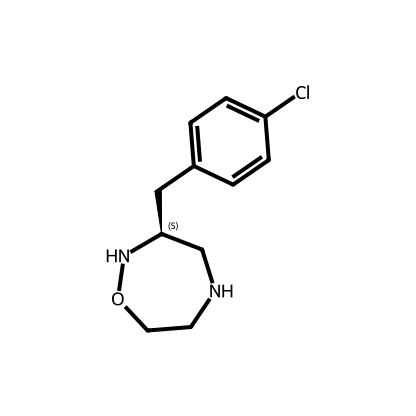 Clc1ccc(C[C@H]2CNCCON2)cc1